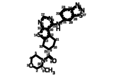 C[C@@H]1COCCN1C(=O)[C@H]1CCc2c(sc3ncnc(Nc4ccc5nnsc5c4)c23)C1